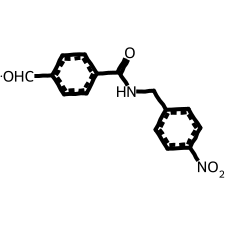 O=[C]c1ccc(C(=O)NCc2ccc([N+](=O)[O-])cc2)cc1